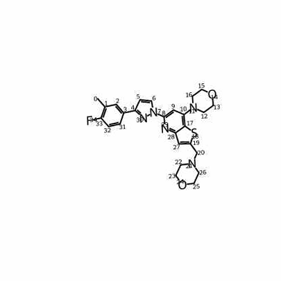 Cc1cc(-c2ccn(-c3cc(N4CCOCC4)c4sc(CN5CCOCC5)cc4n3)n2)ccc1F